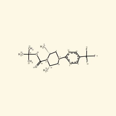 C[C@@H]1CN(c2ncc(C(F)(F)F)cn2)C[C@H](C)N1C(=O)OC(C)(C)C